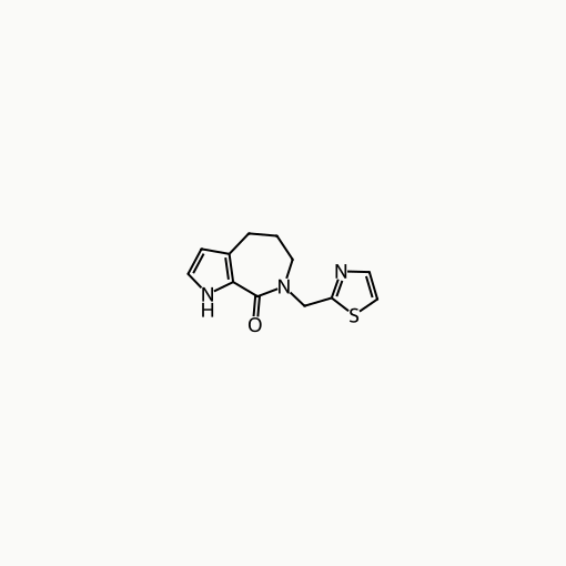 O=C1c2[nH]ccc2CCCN1Cc1nccs1